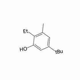 CCc1c(C)cc(C(C)(C)C)cc1O